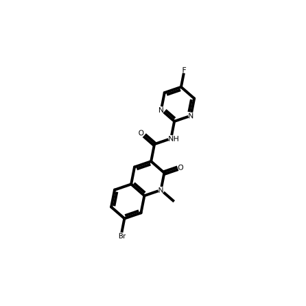 Cn1c(=O)c(C(=O)Nc2ncc(F)cn2)cc2ccc(Br)cc21